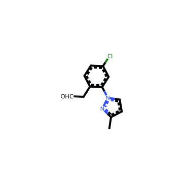 Cc1ccn(-c2cc(Cl)ccc2CC=O)n1